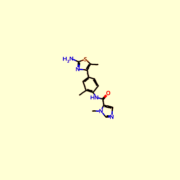 Cc1cc(-c2nc(N)sc2C)ccc1NC(=O)c1cncn1C